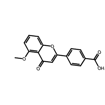 COc1cccc2oc(-c3ccc(C(=O)O)cc3)cc(=O)c12